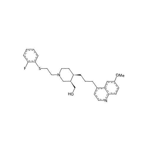 COc1ccc2nccc(CCC[C@@H]3CCN(CCSc4ccccc4F)C[C@@H]3CO)c2c1